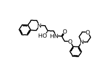 O=C(COc1ccccc1N1CCOCC1)NC[C@@H](O)CN1CCc2ccccc2C1